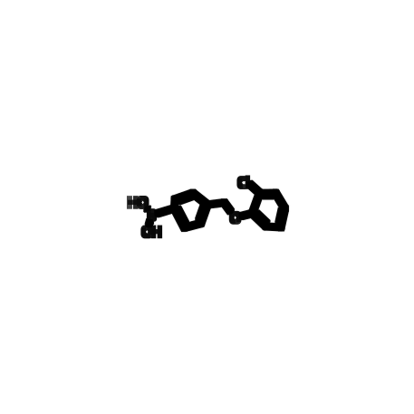 OB(O)c1ccc(COc2ccccc2Cl)cc1